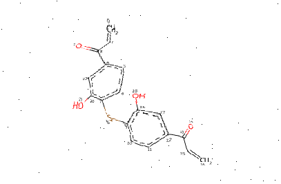 C=CC(=O)c1ccc(Sc2ccc(C(=O)C=C)cc2O)c(O)c1